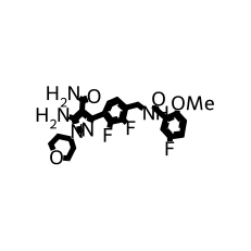 COc1ccc(F)cc1C(=O)NCc1ccc(-c2nn(C3CCOCC3)c(N)c2C(N)=O)c(F)c1F